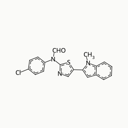 Cn1c(-c2cnc(N(C=O)c3ccc(Cl)cc3)s2)cc2ccccc21